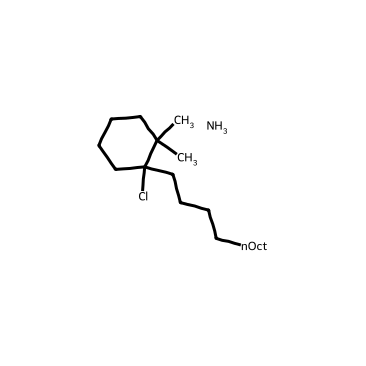 CCCCCCCCCCCCC1(Cl)CCCCC1(C)C.N